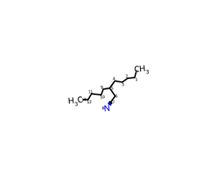 CCCCCC(CC#N)CCCCC